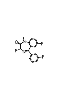 CN1C(=O)C(F)N=C(c2cccc(F)c2)c2cc(F)ccc21